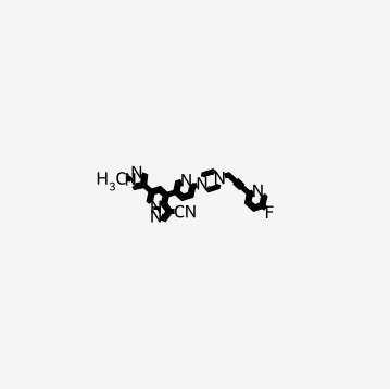 Cn1cc(-c2cc(-c3ccc(N4CCN(CC#Cc5ccc(F)cn5)CC4)nc3)c3c(C#N)cnn3c2)cn1